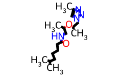 Cc1cn(CC(C)OC(C)CNC(=O)CCCCC(C)C)nn1